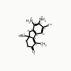 CCCCC12CCC(=O)C(C)=C1c1cc(F)c(N)c(N)c1C2